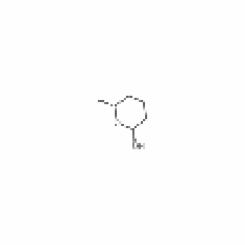 C[C@H]1CCC[C@@H](O)O1